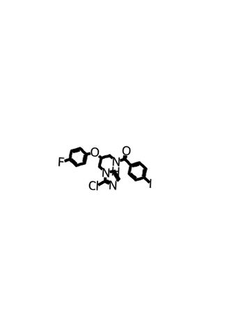 O=C(NCC(Cn1ccnc1Cl)Oc1ccc(F)cc1)c1ccc(I)cc1